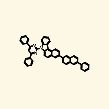 c1ccc(-c2ccc3cc(-c4ccc5c(ccc6c5c5ccccc5n6-c5nc(-c6ccccc6)cc(-c6ccccc6)n5)c4)ccc3c2)cc1